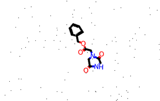 O=C1CN(CC(=O)OCc2ccccc2)C(=O)CN1